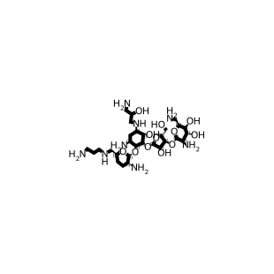 NCCCNC[C@@H]1CC[C@@H](N)[C@@H](O[C@H]2[C@H](O[C@@H]3O[C@H](CO)[C@@H](O[C@H]4O[C@@H](CN)[C@@H](O)[C@H](O)[C@H]4N)[C@H]3O)[C@@H](O)[C@H](NCC(O)CN)C[C@@H]2N)O1